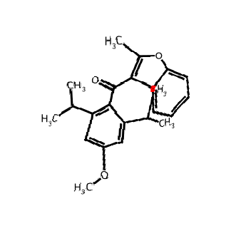 COc1cc(C(C)C)c(C(=O)c2c(C)oc3ccccc23)c(C(C)C)c1